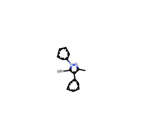 CCCc1c(-c2ccccc2)c(C)nn1-c1ccccc1